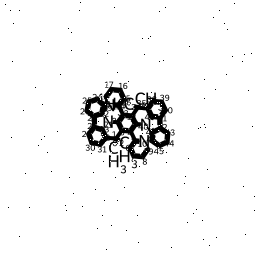 CC1(C)c2c(-c3ccccn3)c3c(c(-c4ccccn4)c2-n2c4ccccc4c4cccc1c42)C(C)(C)c1cccc2c4ccccc4n-3c12